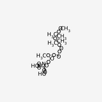 COc1ccc(C(C)(C)c2cccc(C(C)(C)c3ccc(Oc4ccc(C(=O)c5ccc(-c6ccc(C)cc6C(=O)c6ccc(Oc7ncc(S(=O)(=O)O)cc7SOOO)cc6)cc5)cc4)cc3)c2)cc1